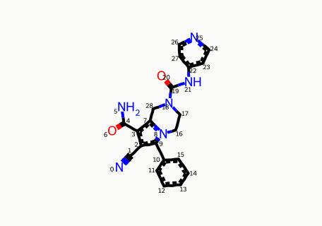 N#Cc1c(C(N)=O)c2n(c1-c1ccccc1)CCN(C(=O)Nc1ccncc1)C2